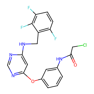 O=C(CCl)Nc1cccc(Oc2cc(NCc3c(F)ccc(F)c3F)ncn2)c1